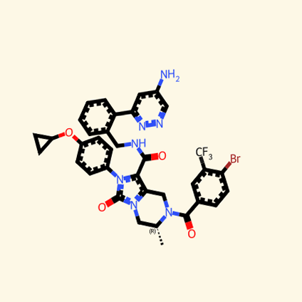 C[C@@H]1Cn2c(c(C(=O)NCc3ccccc3-c3cc(N)cnn3)n(-c3ccc(OC4CC4)cc3)c2=O)CN1C(=O)c1ccc(Br)c(C(F)(F)F)c1